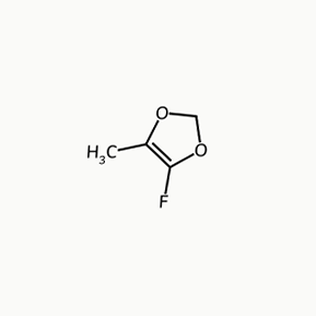 CC1=C(F)OCO1